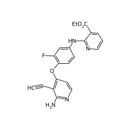 C#Cc1c(Oc2ccc(Nc3ncccc3C(=O)OCC)cc2F)ccnc1N